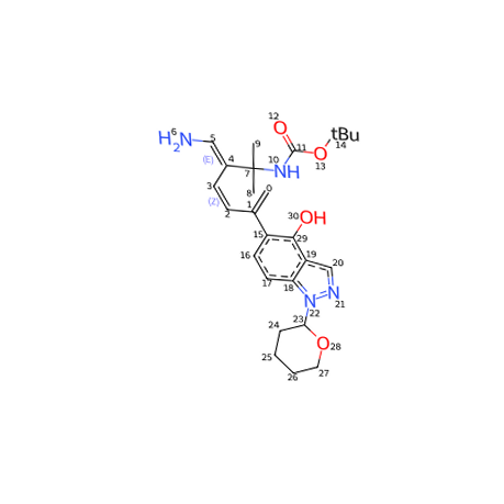 C=C(/C=C\C(=C/N)C(C)(C)NC(=O)OC(C)(C)C)c1ccc2c(cnn2C2CCCCO2)c1O